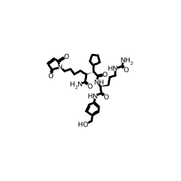 NC(=O)NCCC[C@H](NC(=O)[C@@H](C1CCCC1)C(CCCCN1C(=O)C=CC1=O)C(N)=O)C(=O)Nc1ccc(CO)cc1